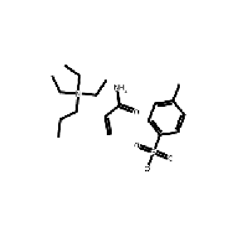 C=CC(N)=O.CCC[N+](CC)(CC)CC.Cc1ccc(S(=O)(=O)[O-])cc1